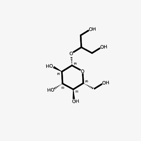 OCC(CO)O[C@@H]1O[C@H](CO)[C@@H](O)[C@H](O)[C@H]1O